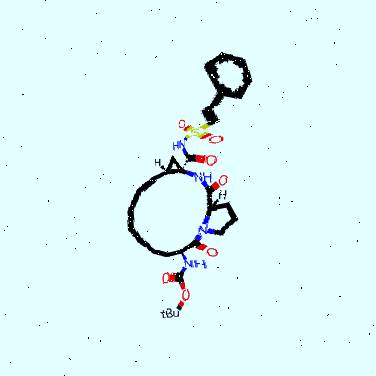 CC(C)(C)OC(=O)N[C@H]1CCCCC/C=C\[C@@H]2C[C@@]2(C(=O)NS(=O)(=O)/C=C/c2ccccc2)NC(=O)[C@@H]2CCCN2C1=O